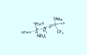 CCCCCCCC[PH](N)(CCCCCCCC)CCCCCCCC.COS(=O)(=O)C(F)(F)F